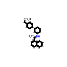 C[C@@H](N[C@H]1CCC[C@H](C2C=CC(CC(=O)O)=CC2)C1)c1cccc2ccccc12